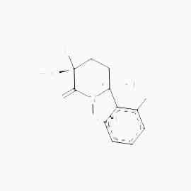 C[C@@]1(F)C[C@H](F)[C@@](C)(c2ccccc2F)N(C(=O)O)C1=O